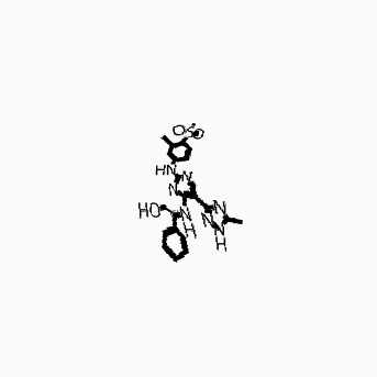 Cc1nc(-c2cnc(Nc3ccc(S(C)(=O)=O)c(C)c3)nc2N[C@H](CO)c2ccccc2)n[nH]1